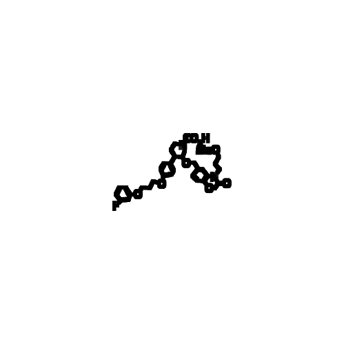 COCCCN1C(=O)COc2ccc(COC3CN(C(=O)O)CCC3c3ccc(OCCCOc4cccc(F)c4)cc3)cc21